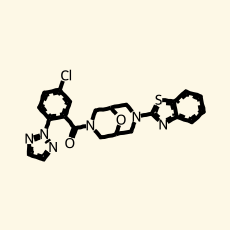 O=C(c1cc(Cl)ccc1-n1nccn1)N1CC2CN(c3nc4ccccc4s3)CC(C1)O2